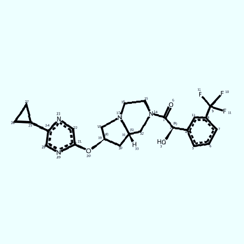 O=C([C@H](O)c1cccc(C(F)(F)F)c1)N1CCN2C[C@H](Oc3cnc(C4CC4)cn3)C[C@H]2C1